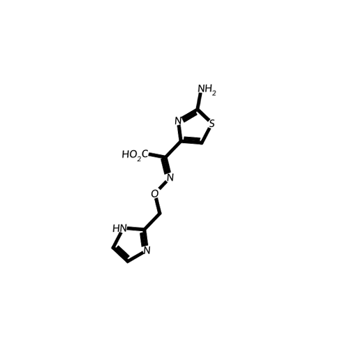 Nc1nc(/C(=N/OCc2ncc[nH]2)C(=O)O)cs1